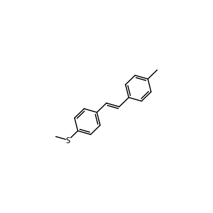 CSc1ccc(C=Cc2ccc(C)cc2)cc1